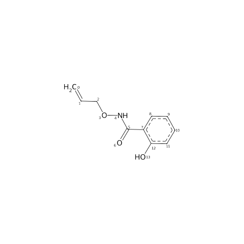 C=CCONC(=O)c1ccccc1O